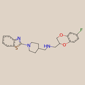 Fc1ccc2c(c1)OCC(CNCC1CCN(c3nc4ccccc4s3)CC1)O2